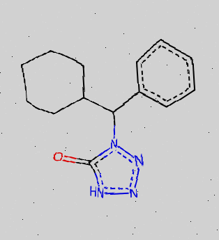 O=c1[nH]nnn1C(c1ccccc1)C1CCCCC1